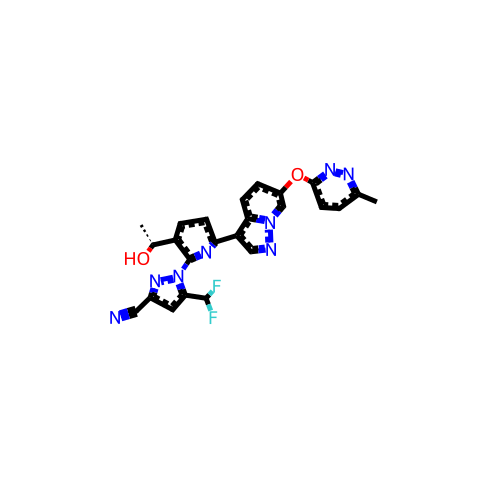 Cc1ccc(Oc2ccc3c(-c4ccc([C@@H](C)O)c(-n5nc(C#N)cc5C(F)F)n4)cnn3c2)nn1